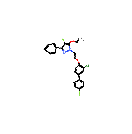 CCOc1c(F)c(-c2ccccc2)nn1CCOc1ccc(-c2ccc(F)cc2)cc1Cl